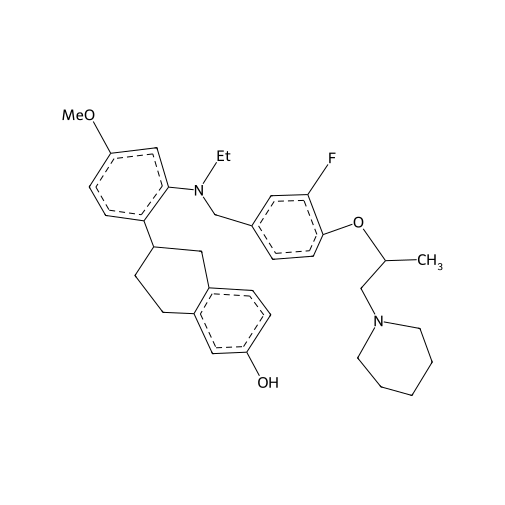 CCN(Cc1ccc(OC(C)CN2CCCCC2)c(F)c1)c1cc(OC)ccc1C1CCc2cc(O)ccc2C1